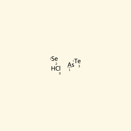 Cl.[As].[Se].[Te]